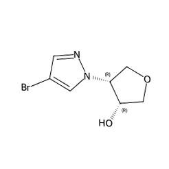 O[C@H]1COC[C@H]1n1cc(Br)cn1